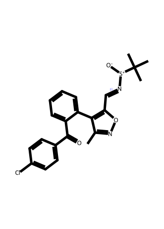 Cc1noc(/C=N/[S+]([O-])C(C)(C)C)c1-c1ccccc1C(=O)c1ccc(Cl)cc1